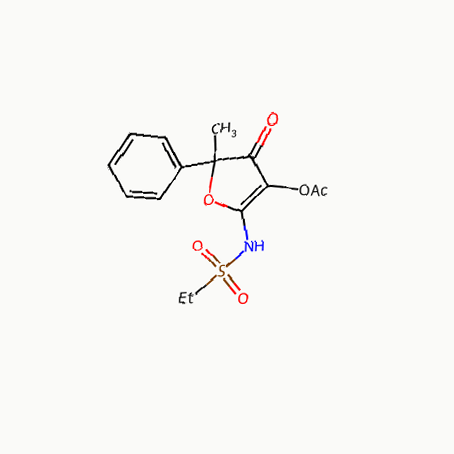 CCS(=O)(=O)NC1=C(OC(C)=O)C(=O)C(C)(c2ccccc2)O1